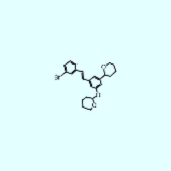 Brc1cc[c]c(C=Cc2cc(OC3CCCCO3)cc(C3CCCCO3)c2)c1